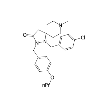 CCCOc1ccc(CN2C(=O)CC3(CCN(C)CC3)N2Cc2ccc(Cl)cc2)cc1